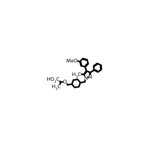 COc1cccc(-c2c(-c3ccccc3)nn(CC3CCC(COC(C)C(=O)O)CC3)c2C)c1